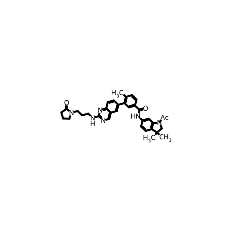 CC(=O)N1CC(C)(C)c2ccc(NC(=O)c3ccc(C)c(-c4ccc5nc(NCCCN6CCCC6=O)ncc5c4)c3)cc21